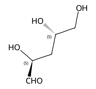 O=C[C@@H](O)C[C@H](O)CO